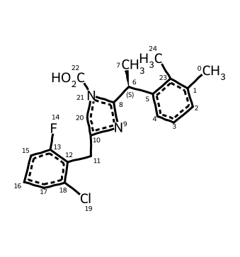 Cc1cccc([C@H](C)c2nc(Cc3c(F)cccc3Cl)cn2C(=O)O)c1C